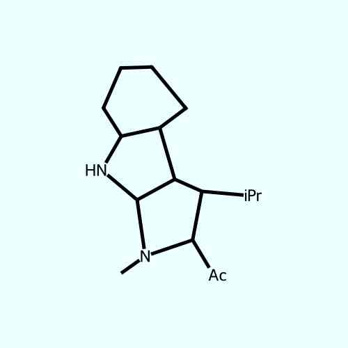 CC(=O)C1C(C(C)C)C2C3CCCCC3NC2N1C